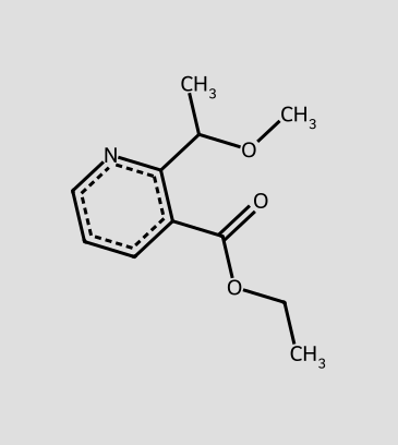 CCOC(=O)c1cccnc1C(C)OC